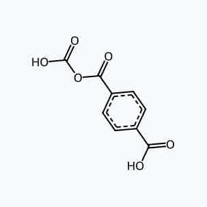 O=C(O)OC(=O)c1ccc(C(=O)O)cc1